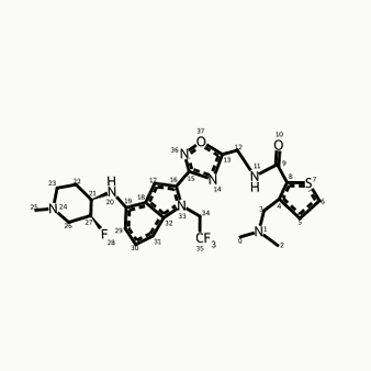 CN(C)Cc1ccsc1C(=O)NCc1nc(-c2cc3c(N[C@@H]4CCN(C)C[C@@H]4F)cccc3n2CC(F)(F)F)no1